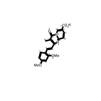 COc1ccc(C=Cc2nc3ccc(C(=O)O)cn3c(=O)c2C)c(OC)c1